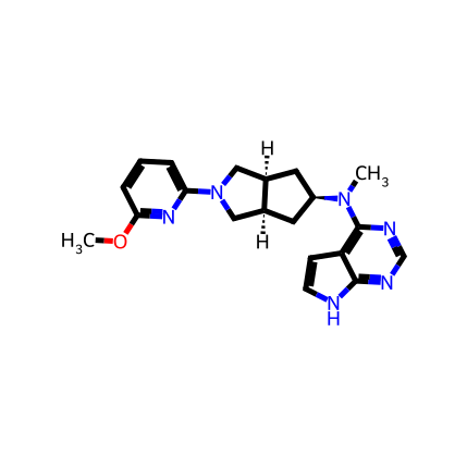 COc1cccc(N2C[C@H]3C[C@@H](N(C)c4ncnc5[nH]ccc45)C[C@H]3C2)n1